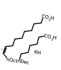 CCCCCCCC/C=C\CCCCCCCC(=O)O.CCCCCCCCCCCCCCCC(=O)O.[KH]